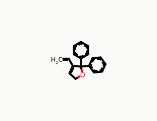 C=CC1=CCOC1(c1ccccc1)c1ccccc1